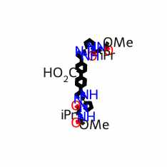 COC(=O)NC(C(=O)N1CCC[C@H]1c1ncc(-c2ccc(-c3ccc(-c4cnc([C@@H]5CCCN5C(=O)[C@@H](NC(=O)OC)C(C)C)[nH]4)cc3C(=O)O)cc2)[nH]1)C(C)C